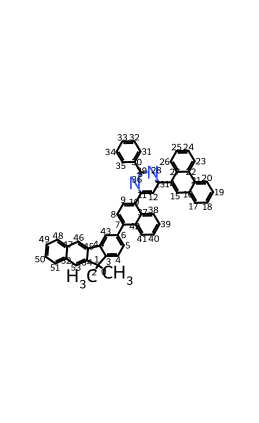 CC1(C)c2ccc(-c3ccc(-c4cc(-c5cc6ccccc6c6ccccc56)nc(-c5ccccc5)n4)c4ccccc34)cc2-c2cc3ccccc3cc21